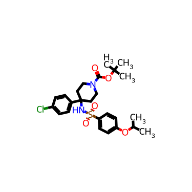 CC(C)Oc1ccc(S(=O)(=O)NC2(c3ccc(Cl)cc3)CCN(C(=O)OC(C)(C)C)CC2)cc1